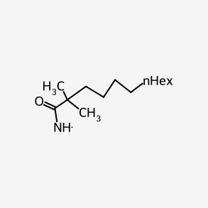 CCCCCCCCCCC(C)(C)C([NH])=O